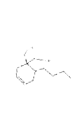 CCCCC1CC=CCC1(CO)CO